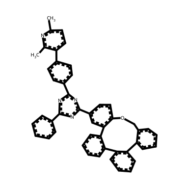 Cc1ccc(-c2ccc(-c3nc(-c4ccccc4)nc(-c4ccc5c(c4)-c4ccccc4-c4ccccc4-c4ccccc4CO5)n3)cc2)c(C)n1